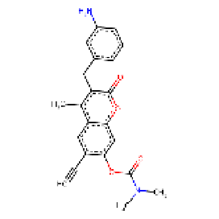 C#Cc1cc2c(C)c(Cc3cccc(N)c3)c(=O)oc2cc1OC(=O)N(C)C